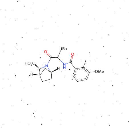 COc1cccc(C(=O)NC(C(=O)N2[C@@H]3CC[C@@H](C3)[C@H]2C(=O)O)C(C)(C)C)c1C